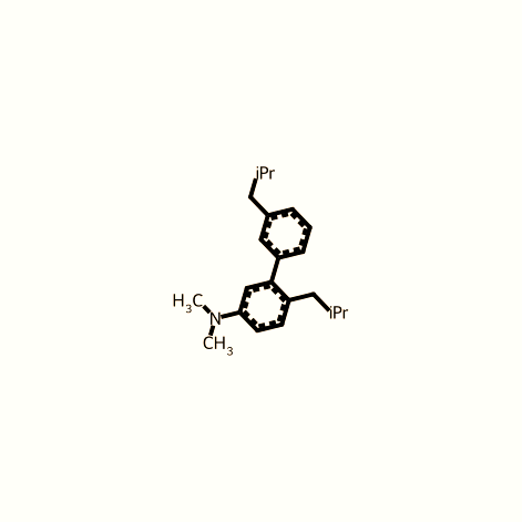 CC(C)Cc1cccc(-c2cc(N(C)C)ccc2CC(C)C)c1